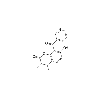 CC1C(=O)Oc2c(ccc(O)c2C(=O)c2cccnc2)C1C